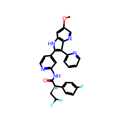 COc1cnc2c(-c3ccccn3)c(-c3ccnc(NC(=O)[C@H](CC(F)F)c4ccc(F)cc4)c3)[nH]c2c1